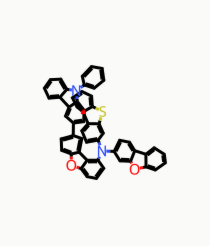 c1ccc(-n2c3ccccc3c3cc(-c4ccc5oc6cccc(N(c7ccc8c(c7)oc7ccccc78)c7ccc8c(c7)sc7ccccc78)c6c5c4)ccc32)cc1